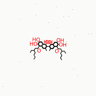 CCCCC(CC)CC(=O)c1c(O)c(O)cc2c(O)c(-c3c(C)cc4c(C(=O)CC(CC)CCCC)c(O)c(O)cc4c3O)c(C)cc12